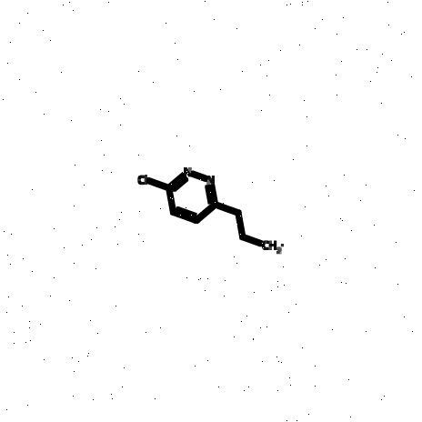 [CH2]CCc1ccc(Cl)nn1